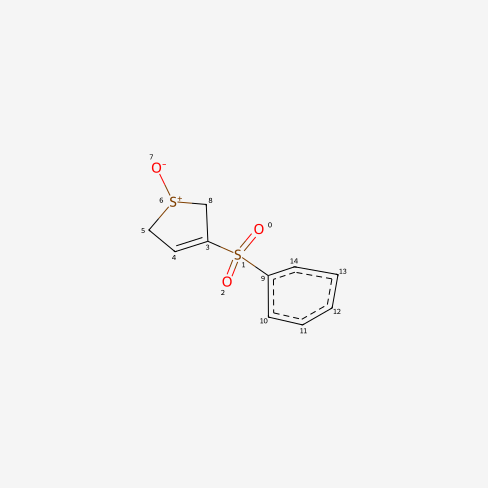 O=S(=O)(C1=CC[S+]([O-])C1)c1ccccc1